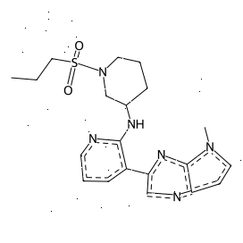 CCCS(=O)(=O)N1CCCC(Nc2ncccc2-c2cnc3ccn(C)c3n2)C1